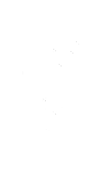 Cc1c(CN2CCN/C2=N\C#N)sc2c1c(=O)n(CC(C)(C)C)c(=O)n2CCCF